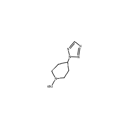 CC(C)(C)N1CCC(n2ncnn2)CC1